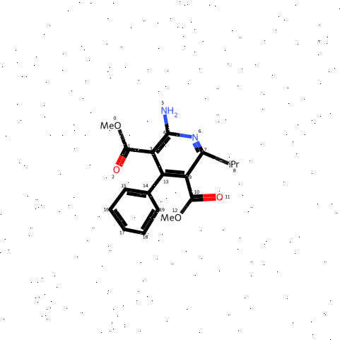 COC(=O)c1c(N)nc(C(C)C)c(C(=O)OC)c1-c1ccccc1